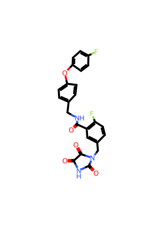 O=C1NC(=O)N(Cc2ccc(F)c(C(=O)NCc3ccc(Oc4ccc(F)cc4)cc3)c2)C1=O